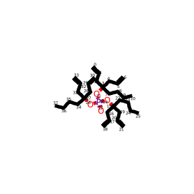 C=CCC(CC=C)(CCCC)OP(=O)(OC(CC=C)(CC=C)CCCC)OC(CC=C)(CC=C)CCCC